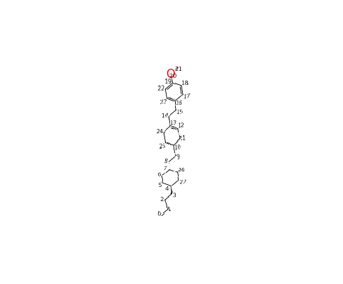 CCCC[C@H]1CC[C@H](CCC2CC=C(CCc3ccc(OC)cc3)CC2)CC1